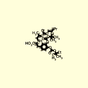 CCC(C)(C)OC(=O)Oc1ccc(C[C@H](NCC(C)OC(=O)OCCC(C)C)C(=O)O)cc1OC(=O)OC(C)(C)CC